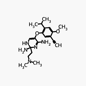 C#Cc1cc(OC2=CNC(N)(CCN(C)C)N=C2N)c(C(C)C)cc1OC